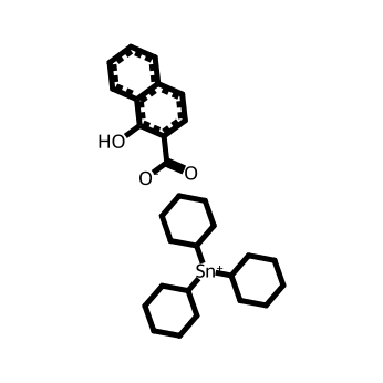 C1CC[CH]([Sn+]([CH]2CCCCC2)[CH]2CCCCC2)CC1.O=C([O-])c1ccc2ccccc2c1O